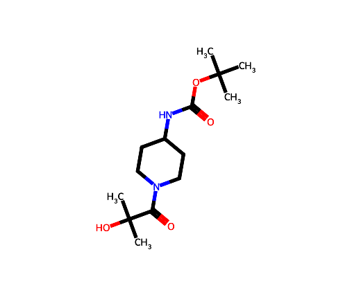 CC(C)(C)OC(=O)NC1CCN(C(=O)C(C)(C)O)CC1